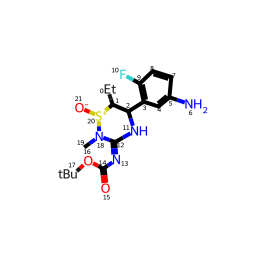 CCC1C(c2cc(N)ccc2F)NC(=NC(=O)OC(C)(C)C)N(C)[S+]1[O-]